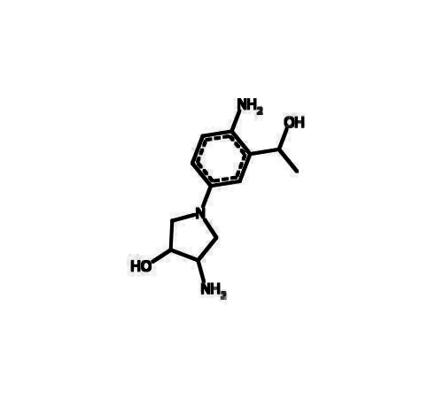 CC(O)c1cc(N2CC(N)C(O)C2)ccc1N